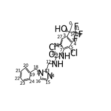 CC(O)(c1cc(Cl)c(NC(=O)NCc2nccn2Cc2ccccc2)c(Cl)c1)C(F)(F)F